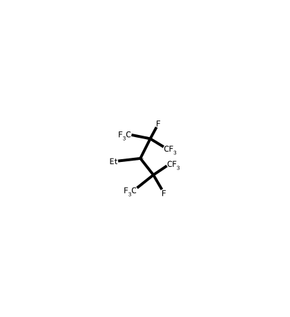 CC[C](C(F)(C(F)(F)F)C(F)(F)F)C(F)(C(F)(F)F)C(F)(F)F